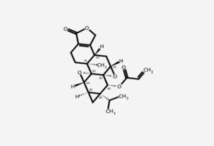 C=CC(=O)O[C@@H]1[C@@]2(C(C)C)C[C@H]2[C@@H]2O[C@]23[C@]12O[C@H]2C[C@H]1C2=C(CC[C@@]13C)C(=O)OC2